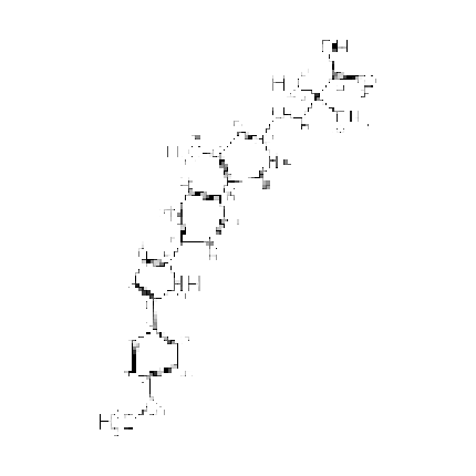 COc1ccc(-c2cnc(-c3ncc(-c4cnc(OCC(C)(C)C(=O)O)cc4C)cn3)[nH]2)cc1